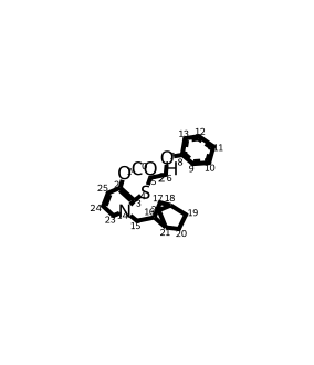 O=C(O)OC1=C(SCCOc2ccccc2)N(CC2CC3CCC2C3)CC=C1